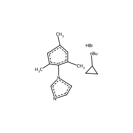 Br.CCCCC1CC1.Cc1cc(C)c(-n2ccnc2)c(C)c1